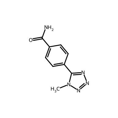 Cn1nnnc1-c1ccc(C(N)=O)cc1